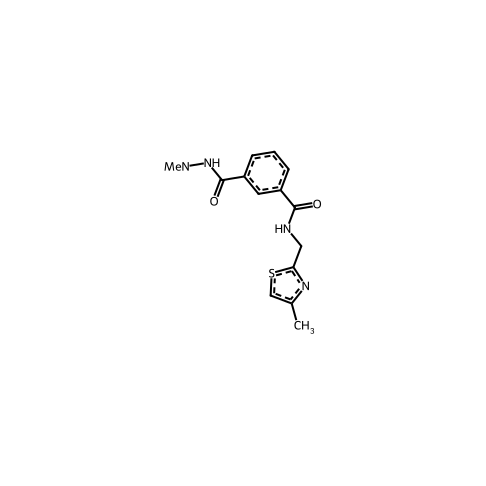 CNNC(=O)c1cccc(C(=O)NCc2nc(C)cs2)c1